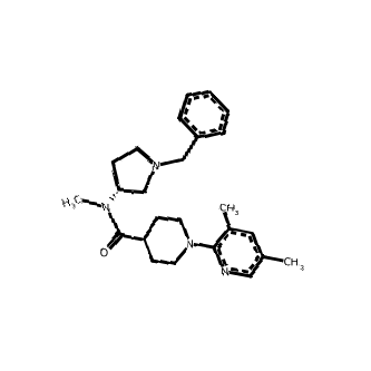 Cc1cnc(N2CCC(C(=O)N(C)[C@@H]3CCN(Cc4ccccc4)C3)CC2)c(C)c1